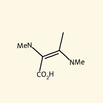 CNC(C)=C(NC)C(=O)O